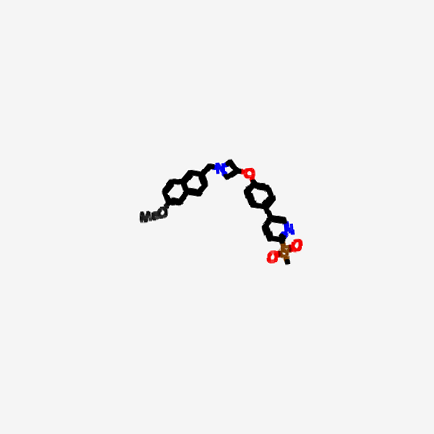 COc1ccc2cc(CN3CC(Oc4ccc(-c5ccc(S(C)(=O)=O)nc5)cc4)C3)ccc2c1